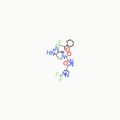 O=C(c1nnc(-c2cnn(C(F)F)c2)o1)N1CCc2[nH]cnc2[C@@H]1c1oc2ccccc2c1C(F)F